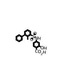 Cc1c(-c2ccccc2)cccc1S(=O)(=O)Nc1ccc(C(=O)O)c(O)c1